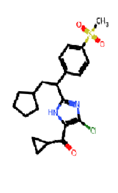 CS(=O)(=O)c1ccc(C(CC2CCCC2)c2nc(Cl)c(C(=O)C3CC3)[nH]2)cc1